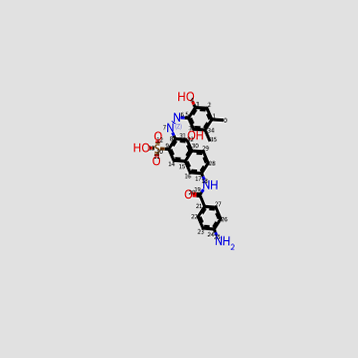 Cc1cc(O)c(/N=N\c2c(S(=O)(=O)O)cc3cc(NC(=O)c4ccc(N)cc4)ccc3c2O)cc1C